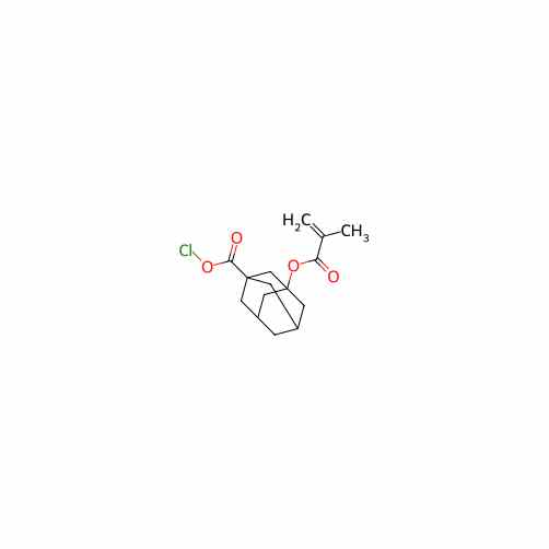 C=C(C)C(=O)OC12CC3CC(C1)CC(C(=O)OCl)(C3)C2